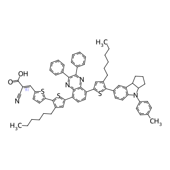 CCCCCCc1cc(-c2ccc(-c3cc(CCCCCC)c(-c4ccc(/C=C(\C#N)C(=O)O)s4)s3)c3nc(-c4ccccc4)c(-c4ccccc4)nc23)sc1-c1ccc2c(c1)C1CCCC1N2c1ccc(C)cc1